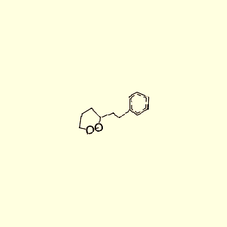 c1ccc(CCC2CCCOO2)cc1